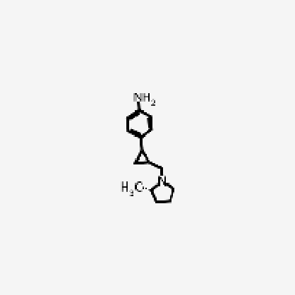 C[C@H]1CCCN1CC1CC1c1ccc(N)cc1